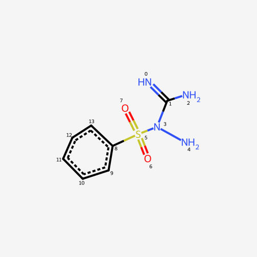 N=C(N)N(N)S(=O)(=O)c1ccccc1